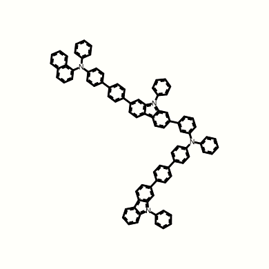 c1ccc(N(c2ccc(-c3ccc(-c4ccc5c6ccccc6n(-c6ccccc6)c5c4)cc3)cc2)c2cccc(-c3ccc4c5ccc(-c6ccc(-c7ccc(N(c8ccccc8)c8cccc9ccccc89)cc7)cc6)cc5n(-c5ccccc5)c4c3)c2)cc1